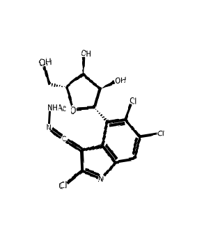 CC(=O)NN=C=C1C(Cl)=Nc2cc(Cl)c(Cl)c([C@@H]3O[C@H](CO)[C@@H](O)[C@H]3O)c21